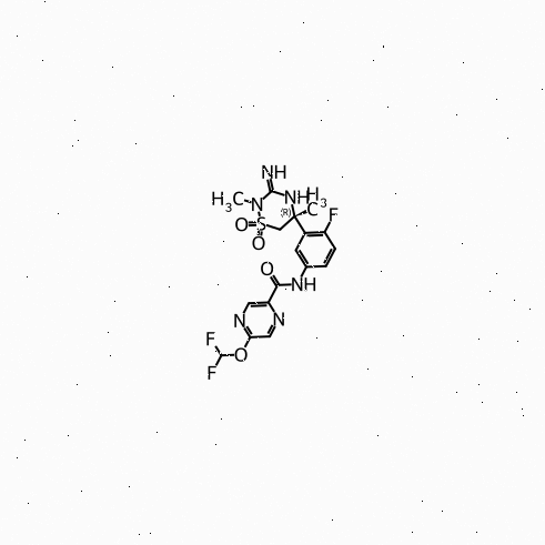 CN1C(=N)N[C@](C)(c2cc(NC(=O)c3cnc(OC(F)F)cn3)ccc2F)CS1(=O)=O